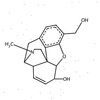 CN1CCC23c4c5ccc(CO)c4OC2C(O)C=CC3C1C5